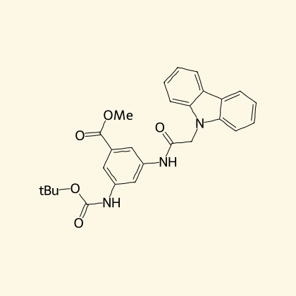 COC(=O)c1cc(NC(=O)Cn2c3ccccc3c3ccccc32)cc(NC(=O)OC(C)(C)C)c1